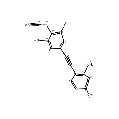 Cc1ccc(C#Cc2cc(F)c(SC#N)c(F)c2)c(C)c1